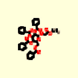 COC(=O)CO[C@@H]1OC(COC(=O)c2ccccc2)[C@H](OC(=O)c2ccccc2)C(OC(=O)c2ccccc2)[C@@H]1OC(=O)c1ccccc1